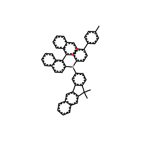 Cc1ccc(-c2ccc(N(c3ccc4c(c3)-c3cc5ccccc5cc3C4(C)C)c3ccc4ccccc4c3-c3cccc4ccccc34)cc2)cc1